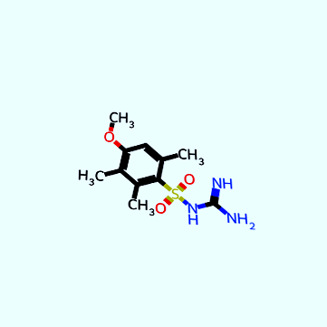 COc1cc(C)c(S(=O)(=O)NC(=N)N)c(C)c1C